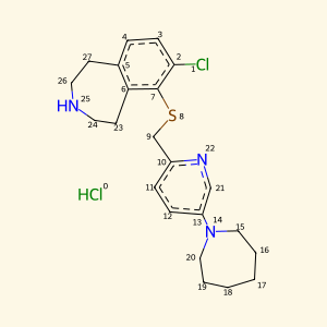 Cl.Clc1ccc2c(c1SCc1ccc(N3CCCCCC3)cn1)CCNCC2